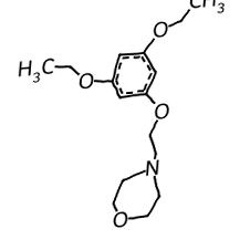 CCOc1cc(OCC)cc(OCCN2CCOCC2)c1